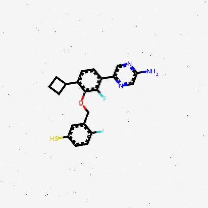 Nc1cnc(-c2ccc(C3CCC3)c(OCc3cc(S)ccc3F)c2F)cn1